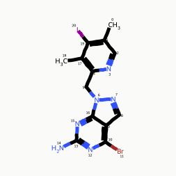 Cc1cnc(Cn2ncc3c(Br)nc(N)nc32)c(C)c1I